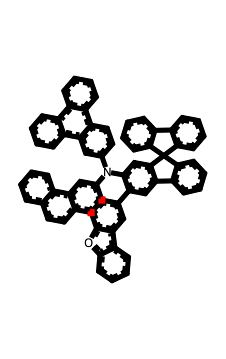 c1ccc2c(c1)-c1ccccc1C21c2ccccc2-c2cc(-c3ccc4oc5ccccc5c4c3)c(N(c3ccc4ccc5ccccc5c4c3)c3ccc4c5ccccc5c5ccccc5c4c3)cc21